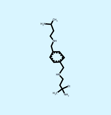 CCC(C)(N)CCNCc1ccc(CNCCC(C)N)cc1